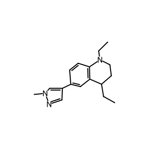 CCC1CCN(CC)c2ccc(-c3cnn(C)c3)cc21